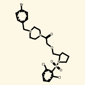 O=C(COCC1CCCN1S(=O)(=O)c1c(Cl)cccc1Cl)N1CCN(Cc2ccc(Br)cc2)CC1